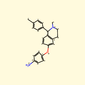 Cc1ccc(C2c3ccc(Oc4ccc(N)cc4)cc3CCN2C)cc1